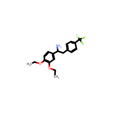 CCOc1ccc(C(N)Cc2ccc(C(F)(F)F)cc2)cc1OCC